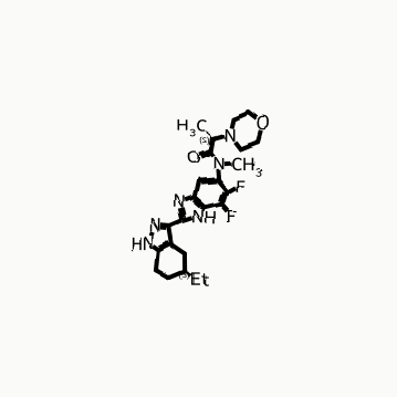 CC[C@H]1CCc2[nH]nc(-c3nc4cc(N(C)C(=O)[C@H](C)N5CCOCC5)c(F)c(F)c4[nH]3)c2C1